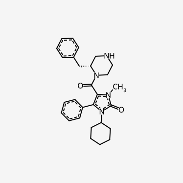 Cn1c(C(=O)N2CCNC[C@H]2Cc2ccccc2)c(-c2ccccc2)n(C2CCCCC2)c1=O